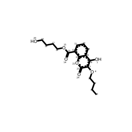 CCCCOc1c(O)c2cccc(C(=O)OCCCCO)c2oc1=O